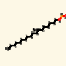 CCCCCCCCCCCCCCCCCCOP=O.[NaH]